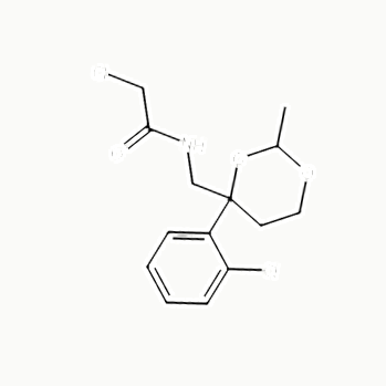 CC1OCCC(CNC(=O)CCl)(c2ccccc2Cl)O1